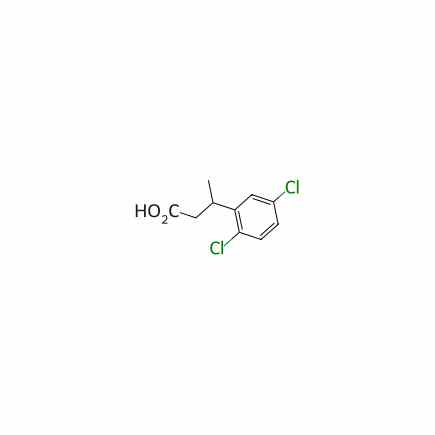 CC(CC(=O)O)c1cc(Cl)ccc1Cl